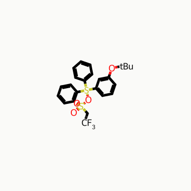 CC(C)(C)Oc1cccc(S(OS(=O)(=O)CC(F)(F)F)(c2ccccc2)c2ccccc2)c1